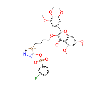 COc1cc(OC)c2c(=O)c(OCCCC[SH]3C=NN=C3OS(=O)(=O)c3cccc(F)c3)c(-c3cc(OC)c(OC)c(OC)c3)oc2c1